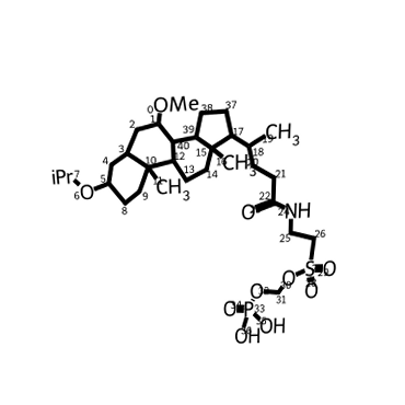 COC1CC2CC(OC(C)C)CCC2(C)C2CCC3(C)C(C(C)CCC(=O)NCCS(=O)(=O)OCOP(=O)(O)O)CCC3C12